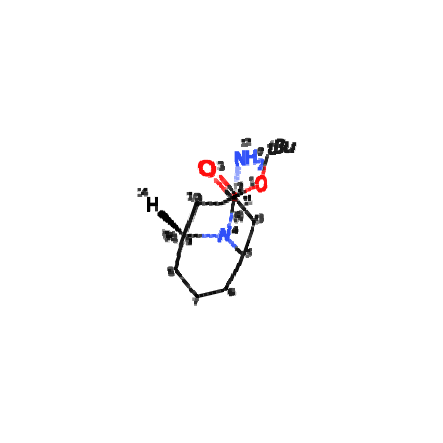 CC(C)(C)OC(=O)N1C2CCC[C@@H]1C[C@H](N)C2